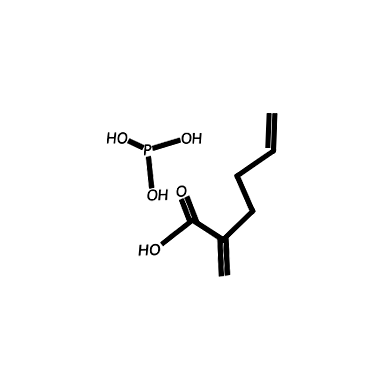 C=CCCC(=C)C(=O)O.OP(O)O